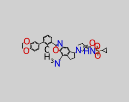 Cc1c(-c2ccc3c(c2)OCCO3)cccc1-c1nc2cc3c(c(C#N)c2o1)CCC3N1CC[C@@H](C(=O)NS(=O)(=O)C2CC2)C1